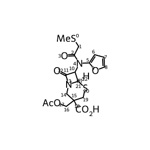 CSCC(=O)N(c1ccco1)C1C(=O)N2CC(COC(C)=O)(C(=O)O)CS[C@H]12